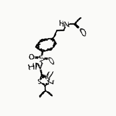 CC(=O)NCCc1ccc(S(=O)(=O)Nc2nnc(C(C)C)s2)cc1